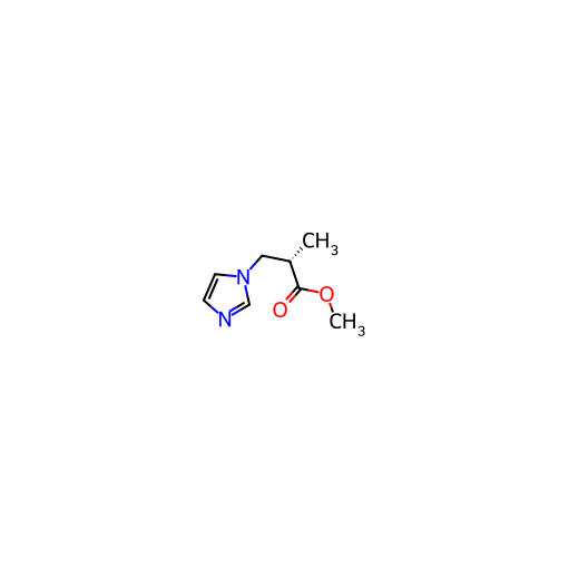 COC(=O)[C@@H](C)Cn1ccnc1